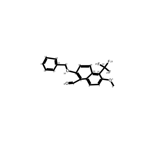 COc1ccc2c(C=O)c(OCc3ccccc3)ccc2c1C(F)(F)F